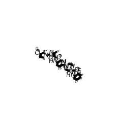 COC1CCN(c2nc(C)c(C(=O)Nc3ccc(N4CCN(C(=O)Nc5ccccc5F)CC4)nc3)o2)C1